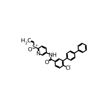 C=C[S+]([O-])c1ccc(NC(=O)c2ccc(Cl)c(-c3ccc(-c4ccccc4)cc3)c2)cn1